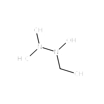 CCN(O)N(C)C